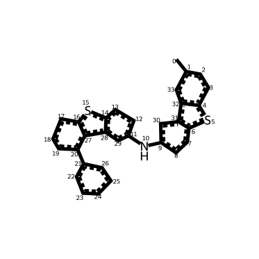 Cc1ccc2sc3ccc(Nc4ccc5sc6cccc(-c7ccccc7)c6c5c4)cc3c2c1